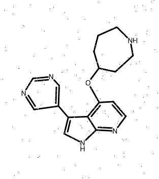 c1ncc(-c2c[nH]c3nccc(OC4CCCNCC4)c23)cn1